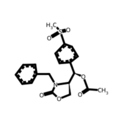 CC(=O)O[C@H](c1ccc(S(C)(=O)=O)cc1)[C@H]1COC(=O)N1Cc1ccccc1